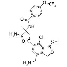 CC(COc1cc(CN)c2c(c1Cl)B(O)OC2)(NC(=O)c1ccc(OC(F)(F)F)cc1)C(N)=O